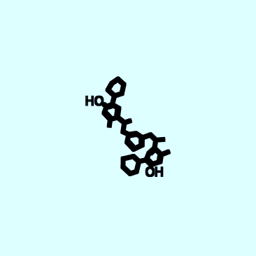 Cc1cc(O)c(C2CCCCC2)cc1C(C)Cc1cccc(CC(C)c2cc(C3CCCCC3)c(O)cc2C)c1